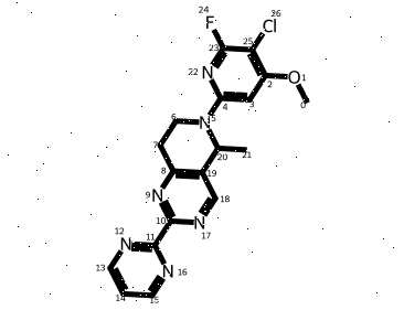 COc1cc(N2CCc3nc(-c4ncccn4)ncc3C2C)nc(F)c1Cl